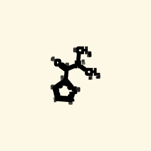 CN(C)C(=O)c1cc[c]s1